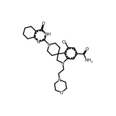 NC(=O)c1cc(Cl)c2c(c1)N(CCN1CCOCC1)CC21CCN(c2nc3c(c(=O)[nH]2)CCCC3)CC1